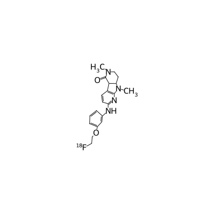 CN1CCC2C(C1=O)c1ccc(Nc3cccc(OCC[18F])c3)nc1N2C